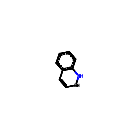 B1C=Cc2ccccc2N1